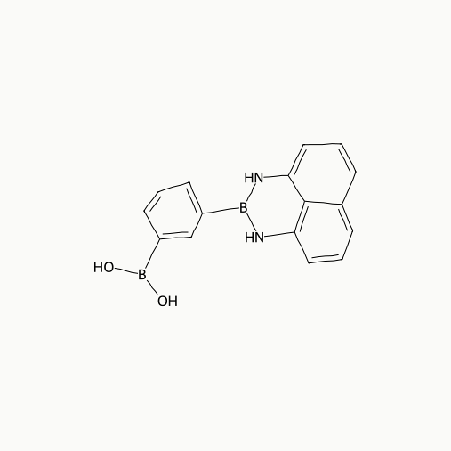 OB(O)c1cccc(B2Nc3cccc4cccc(c34)N2)c1